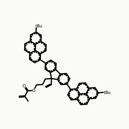 C=CC1(CCCOC(=O)C(=C)C)c2cc(-c3ccc4ccc5cc(C(C)(C)C)cc6ccc3c4c56)ccc2-c2ccc(-c3ccc4ccc5cc(C(C)(C)C)cc6ccc3c4c56)cc21